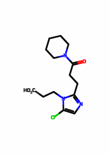 O=C(O)CCn1c(Cl)cnc1CCC(=O)N1CCCCC1